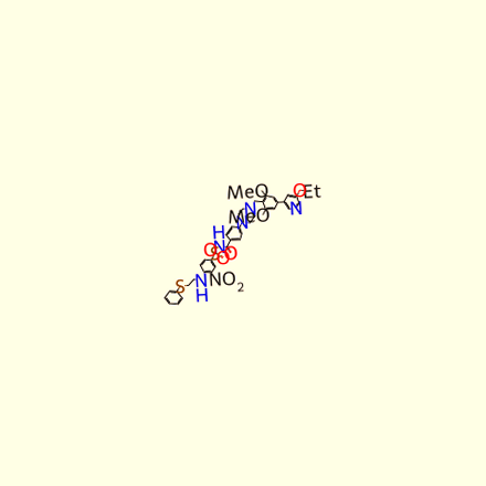 CCOc1cncc(-c2cc(OC)c(CN3CCN(c4ccc(C(=O)NS(=O)(=O)c5ccc(NCCSc6ccccc6)c([N+](=O)[O-])c5)cc4)CC3)c(OC)c2)c1